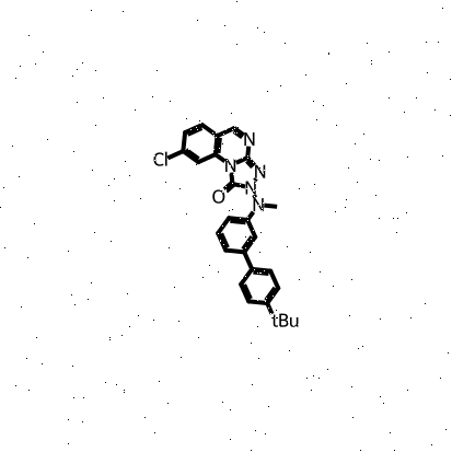 CN(c1cccc(-c2ccc(C(C)(C)C)cc2)c1)n1nc2ncc3ccc(Cl)cc3n2c1=O